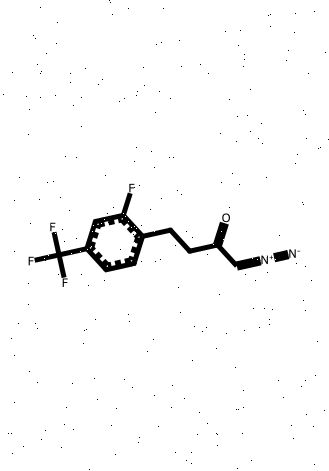 [N-]=[N+]=CC(=O)CCc1ccc(C(F)(F)F)cc1F